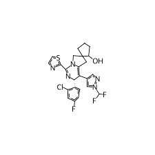 OC1CCCC12CC1=C(c3cnn(C(F)F)c3)[C@H](c3ccc(F)cc3Cl)N=C(c3nccs3)N1C2